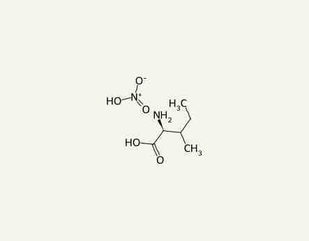 CCC(C)[C@H](N)C(=O)O.O=[N+]([O-])O